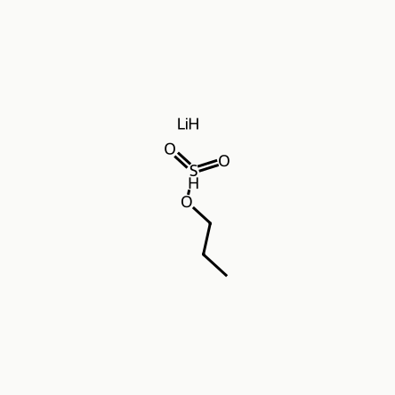 CCCO[SH](=O)=O.[LiH]